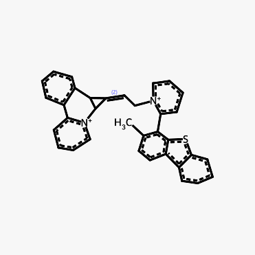 Cc1ccc2c(sc3ccccc32)c1-c1cccc[n+]1C/C=C1/C2c3ccccc3-c3cccc[n+]3C12